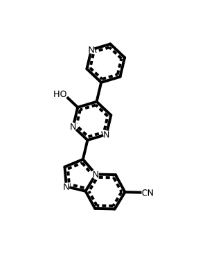 N#Cc1ccc2ncc(-c3ncc(-c4cccnc4)c(O)n3)n2c1